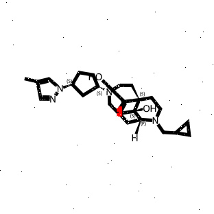 Cc1cnn([C@H]2CC[C@H](N3CC[C@]45CCN(CC6CC6)[C@H](Cc6ccc(O)cc64)[C@]5(O)CC3)C2)c1